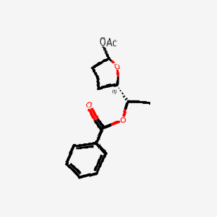 CC(=O)OC1CC[C@@H](C(C)OC(=O)c2ccccc2)O1